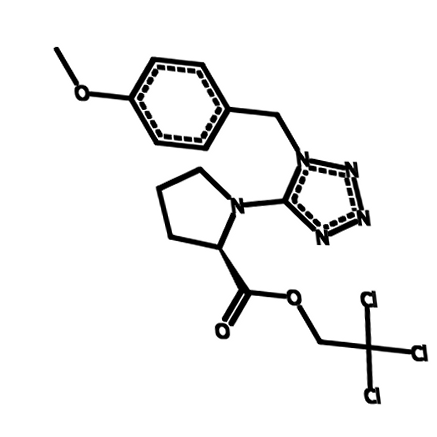 COc1ccc(Cn2nnnc2N2CCC[C@@H]2C(=O)OCC(Cl)(Cl)Cl)cc1